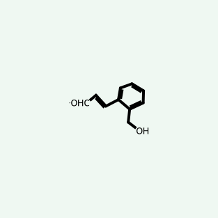 O=[C]/C=C/c1ccccc1CO